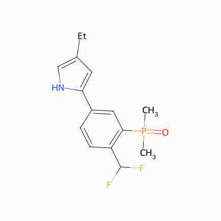 CCc1c[nH]c(-c2ccc(C(F)F)c(P(C)(C)=O)c2)c1